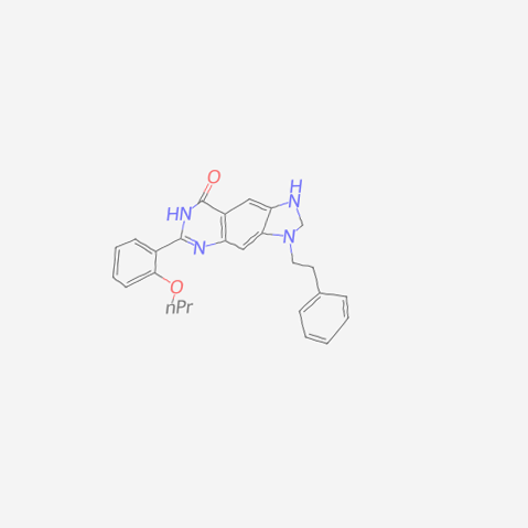 CCCOc1ccccc1-c1nc2cc3c(cc2c(=O)[nH]1)NCN3CCc1ccccc1